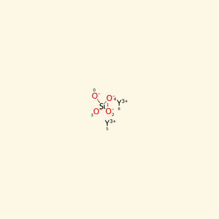 [O-][Si]([O-])([O-])[O-].[Y+3].[Y+3]